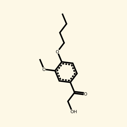 CCCCOc1ccc(C(=O)CO)cc1OC